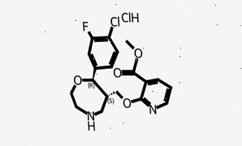 COC(=O)c1cccnc1OC[C@@H]1CNCCO[C@H]1c1ccc(Cl)c(F)c1.Cl